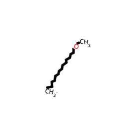 [CH2]CCCCCCCCCCCCCCCOCC